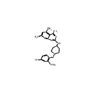 CC(=O)Nc1cc(C#N)ccc1CN1CCC(Nc2nc(N)c3c(C)cc(C)nc3n2)CC1